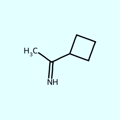 CC(=N)C1CCC1